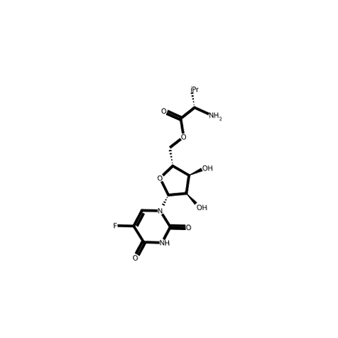 CC(C)[C@H](N)C(=O)OC[C@H]1O[C@@H](n2cc(F)c(=O)[nH]c2=O)[C@H](O)[C@@H]1O